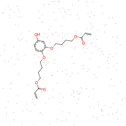 C=CC(=O)OCCCCOc1ccc(O)cc1OCCCCOC(=O)C=C